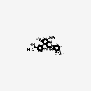 CCOc1cc(OC(C)C)c(F)c(C(Nc2ccc(C(=N)N)cc2)c2nc3c(OC)cccc3[nH]2)c1